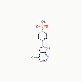 CS(=O)(=O)N1CC=C(c2cc3c(Cl)ccnc3[nH]2)CC1